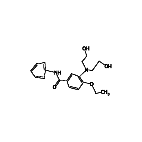 CCOc1ccc(C(=O)Nc2ccccc2)cc1N(CCO)CCO